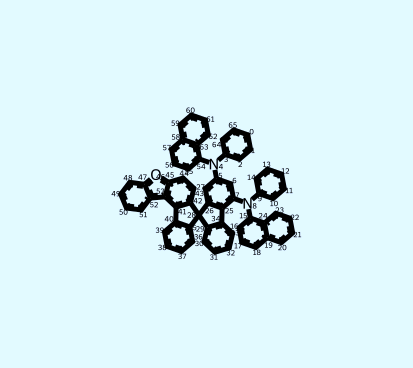 c1ccc(N(c2cc(N(c3ccccc3)c3cccc4ccccc34)c3c(c2)C2(c4ccccc4-3)c3ccccc3-c3c2ccc2oc4ccccc4c32)c2cccc3ccccc23)cc1